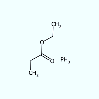 CCOC(=O)CC.P